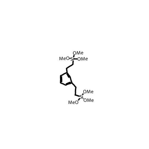 CO[Si](CCc1cccc(CC[Si](OC)(OC)OC)c1)(OC)OC